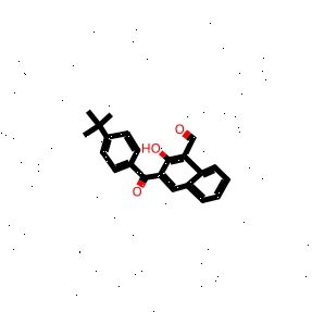 CC(C)(C)c1ccc(C(=O)c2cc3ccccc3c(C=O)c2O)cc1